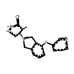 Cc1c(N2Cc3cccc(Oc4cccnc4)c3C2)cn[nH]c1=O